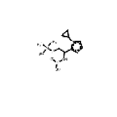 CC(C)(C)[S+]([O-])NC(CO[Si](C)(C)C(C)(C)C)c1nccn1C1CC1